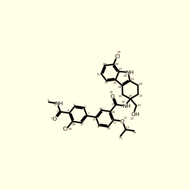 CNC(=O)c1ccc(-c2ccc(OC(C)C)c(C(=O)NC3(CO)CCc4[nH]c5c(Cl)cccc5c4C3)c2)cc1Cl